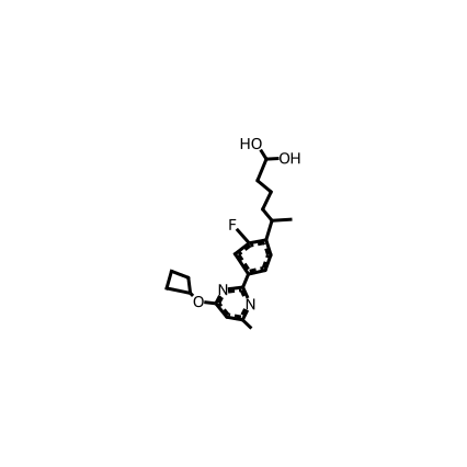 Cc1cc(OC2CCC2)nc(-c2ccc(C(C)CCCC(O)O)c(F)c2)n1